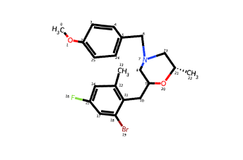 COc1ccc(CN2CC(Cc3c(C)cc(F)cc3Br)O[C@@H](C)C2)cc1